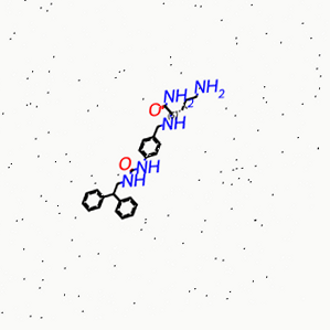 NCCC[C@H](NCc1ccc(NC(=O)NCC(c2ccccc2)c2ccccc2)cc1)C(N)=O